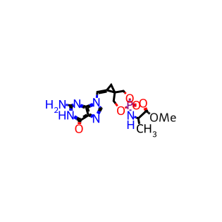 COC(=O)C(C)NP1(=O)OCC2(CO1)C/C2=C/n1cnc2c(=O)[nH]c(N)nc21